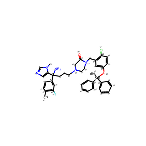 Cn1cncc1C(N)(CCCN1CCN(Cc2cc(O[Si](c3ccccc3)(c3ccccc3)C(C)(C)C)ccc2Cl)C(=O)C1)c1ccc(C#N)c(F)c1